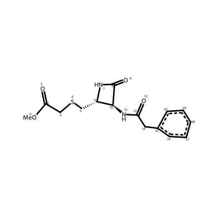 COC(=O)CSC[C@@H]1NC(=O)[C@H]1NC(=O)Cc1ccccc1